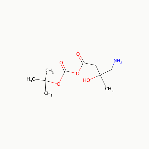 CC(O)(CN)CC(=O)OC(=O)OC(C)(C)C